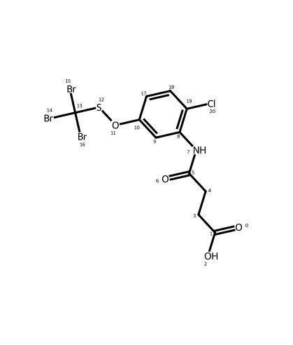 O=C(O)CCC(=O)Nc1cc(OSC(Br)(Br)Br)ccc1Cl